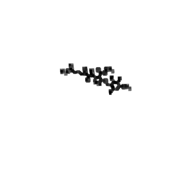 CNCCCNC(=O)Nc1snc(OCc2c(F)cc(C)c(F)c2F)c1C(=O)OC